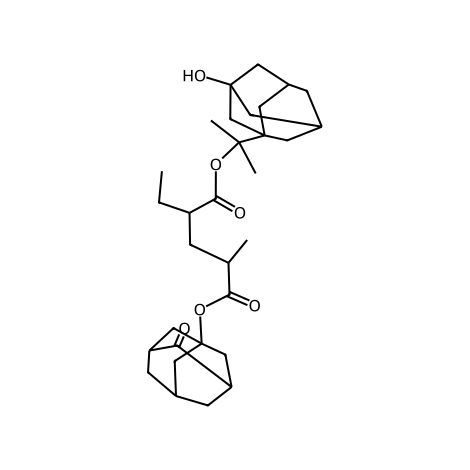 CCC(CC(C)C(=O)OC12CC3CC(C1)C(=O)C(C3)C2)C(=O)OC(C)(C)C12CC3CC(CC(O)(C3)C1)C2